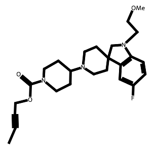 CC#CCOC(=O)N1CCC(N2CCC3(CC2)CN(CCOC)c2ccc(F)cc23)CC1